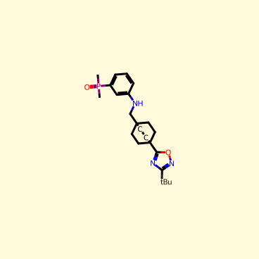 CC(C)(C)c1noc(C23CCC(CNc4cccc(P(C)(C)=O)c4)(CC2)CC3)n1